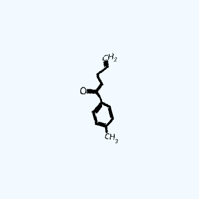 C=CCCC(=O)c1ccc(C)cc1